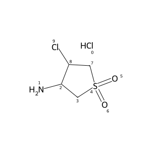 Cl.NC1CS(=O)(=O)CC1Cl